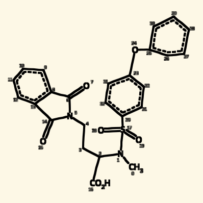 CN(C(CCN1C(=O)c2ccccc2C1=O)C(=O)O)S(=O)(=O)c1ccc(Oc2ccccc2)cc1